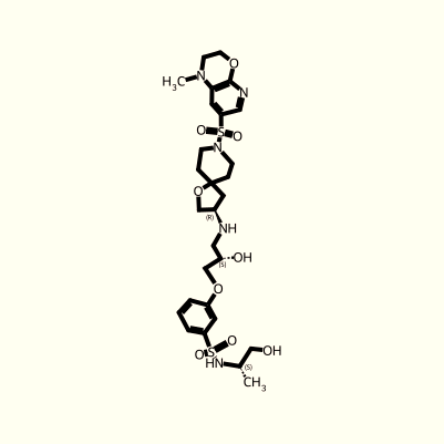 C[C@@H](CO)NS(=O)(=O)c1cccc(OC[C@@H](O)CN[C@H]2COC3(CCN(S(=O)(=O)c4cnc5c(c4)N(C)CCO5)CC3)C2)c1